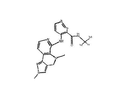 [2H]C([2H])([2H])NC(=O)c1nnccc1Nc1nccc2c1N(C)Cc1cn(C)nc1-2